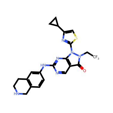 O=c1c2cnc(Nc3ccc4c(c3)CCNC4)nc2n(-c2nc(C3CC3)cs2)n1CC(F)(F)F